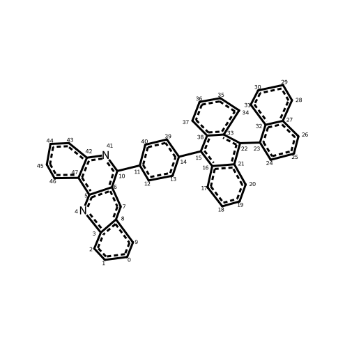 c1ccc2nc3c(cc2c1)c(-c1ccc(-c2c4ccccc4c(-c4cccc5ccccc45)c4ccccc24)cc1)nc1ccccc13